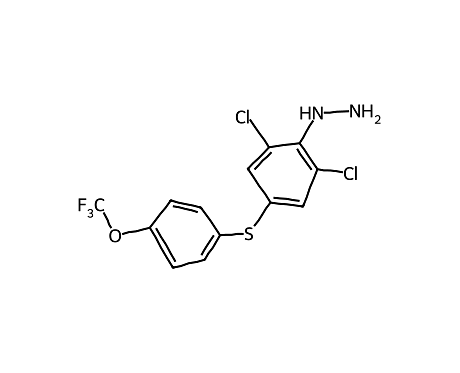 NNc1c(Cl)cc(Sc2ccc(OC(F)(F)F)cc2)cc1Cl